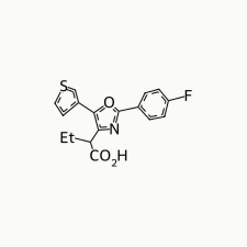 CCC(C(=O)O)c1nc(-c2ccc(F)cc2)oc1-c1ccsc1